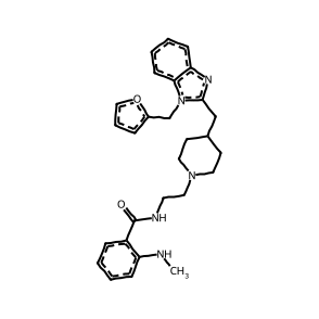 CNc1ccccc1C(=O)NCCN1CCC(Cc2nc3ccccc3n2Cc2ccco2)CC1